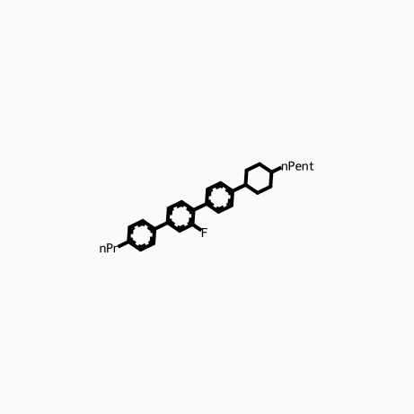 CCCCCC1CCC(c2ccc(-c3ccc(-c4ccc(CCC)cc4)cc3F)cc2)CC1